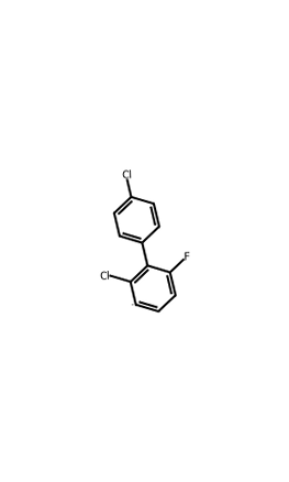 Fc1cc[c]c(Cl)c1-c1ccc(Cl)cc1